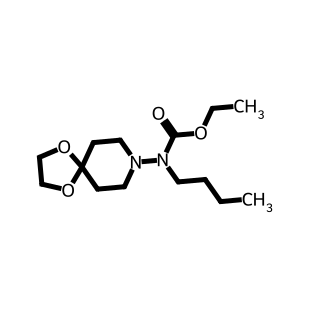 CCCCN(C(=O)OCC)N1CCC2(CC1)OCCO2